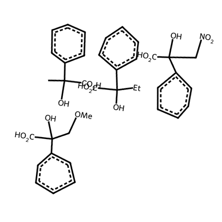 CC(O)(C(=O)O)c1ccccc1.CCC(O)(C(=O)O)c1ccccc1.COCC(O)(C(=O)O)c1ccccc1.O=C(O)C(O)(C[N+](=O)[O-])c1ccccc1